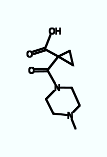 CN1CCN(C(=O)C2(C(=O)O)CC2)CC1